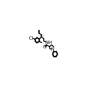 C=C/C=C(/CCNC(=O)C1CCN(c2ccccc2)C1)c1cc(Cl)ccc1C